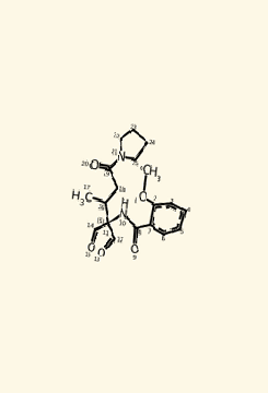 COc1ccccc1C(=O)N[C@@]([C]=O)(C=O)C(C)CC(=O)N1CCCC1